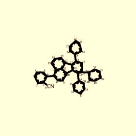 N#Cc1ccccc1-c1ccc2c3c(cccc13)-c1c(-c3ccccc3)cc(-c3ccccc3)c(-c3ccccc3)c1-2